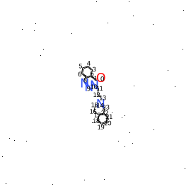 O=c1c2ccccc2nnn1CCCN1CCc2ccccc2C1